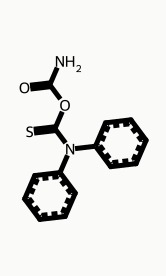 NC(=O)OC(=S)N(c1ccccc1)c1ccccc1